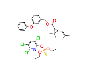 CC(C)=CC1C(C(=O)OCc2cccc(Oc3ccccc3)c2)C1(C)C.CCOP(=S)(OCC)Oc1nc(Cl)c(Cl)cc1Cl